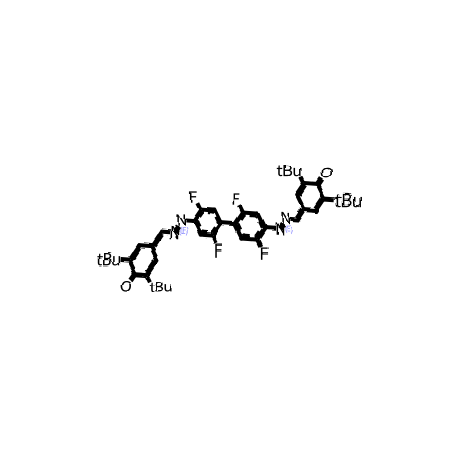 CC(C)(C)C1=CC(=C/N=N/c2cc(F)c(-c3cc(F)c(/N=N/C=C4C=C(C(C)(C)C)C(=O)C(C(C)(C)C)=C4)cc3F)cc2F)C=C(C(C)(C)C)C1=O